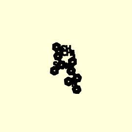 CC1(C)c2ccccc2-c2ccc(-c3cc(-n4c5c(c6cc(-c7cccc8c7c7ccccc7n8-c7ccccc7)ccc64)CCC=C5)cc4c3sc3ccccc34)cc21